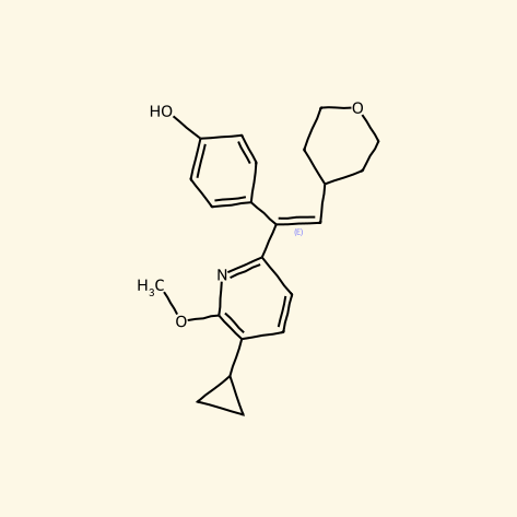 COc1nc(/C(=C/C2CCOCC2)c2ccc(O)cc2)ccc1C1CC1